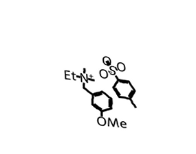 CC[N+](C)(C)Cc1cccc(OC)c1.Cc1ccc(S(=O)(=O)[O-])cc1